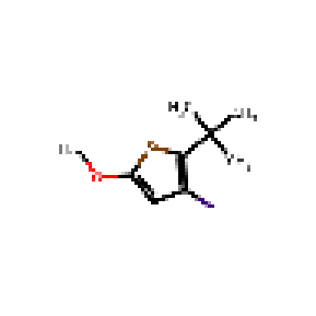 COc1cc(I)c(C(C)(C)C)s1